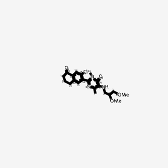 COCC(CNc1c(C)nc(-c2cc3c(cc2Cl)C(=O)CCC3)n(C)c1=O)OC